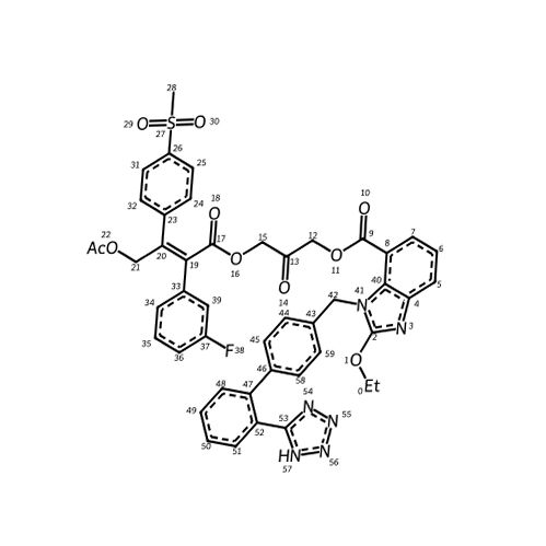 CCOc1nc2cccc(C(=O)OCC(=O)COC(=O)C(=C(COC(C)=O)c3ccc(S(C)(=O)=O)cc3)c3cccc(F)c3)c2n1Cc1ccc(-c2ccccc2-c2nnn[nH]2)cc1